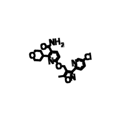 Cc1onc(-c2ccc(Cl)cn2)c1COc1ccc(C(N)=O)c(C2CCOCC2)n1